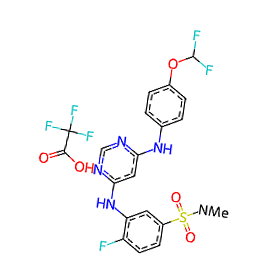 CNS(=O)(=O)c1ccc(F)c(Nc2cc(Nc3ccc(OC(F)F)cc3)ncn2)c1.O=C(O)C(F)(F)F